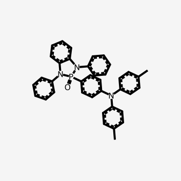 Cc1ccc(N(c2ccc(C)cc2)c2ccc(P3(=O)N(c4ccccc4)c4ccccc4N3c3ccccc3)cc2)cc1